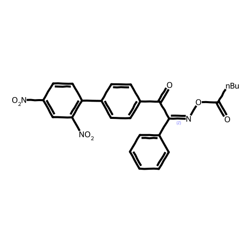 CCCCC(=O)O/N=C(\C(=O)c1ccc(-c2ccc([N+](=O)[O-])cc2[N+](=O)[O-])cc1)c1ccccc1